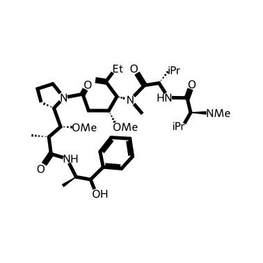 C=C(CC)[C@@H]([C@@H](CC(=O)N1CCC[C@H]1[C@H](OC)[C@@H](C)C(=O)N[C@H](C)C(O)c1ccccc1)OC)N(C)C(=O)[C@@H](NC(=O)[C@@H](NC)C(C)C)C(C)C